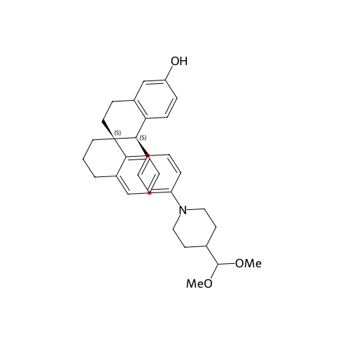 COC(OC)C1CCN(c2ccc([C@@H]3c4ccc(O)cc4CC[C@@]34CCCc3ccccc34)cc2)CC1